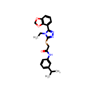 CCn1c(SCC(=O)Nc2cccc(C(C)C)c2)nnc1-c1cccc2c1OCO2